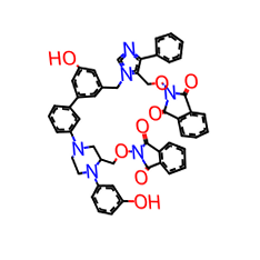 O=C1c2ccccc2C(=O)N1OCc1c(-c2ccccc2)ncn1Cc1cc(O)cc(-c2cccc(N3CCN(c4cccc(O)c4)C(CON4C(=O)c5ccccc5C4=O)C3)c2)c1